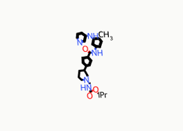 Cc1ccc(NC(=O)c2ccc(C3CCCN(CNC(=O)OC(C)C)C3)cc2)cc1Nc1cccnc1